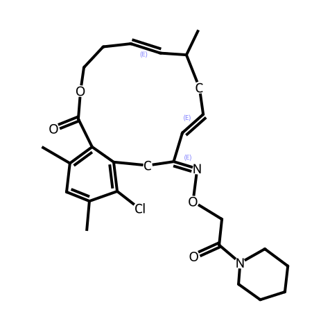 Cc1cc(C)c2c(c1Cl)CC(=N\OCC(=O)N1CCCCC1)/C=C/CC(C)/C=C/CCOC2=O